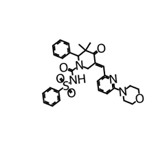 CC1(C)C(=O)C(=Cc2cccc(N3CCOCC3)n2)CN(C(=O)NS(=O)(=O)c2ccccc2)C1c1ccccc1